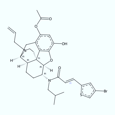 C=CCN1CC[C@]23c4c5c(OC(C)=O)cc(O)c4O[C@H]2[C@H](N(CC(C)C)C(=O)/C=C/c2cc(Br)cs2)CC[C@H]3[C@H]1C5